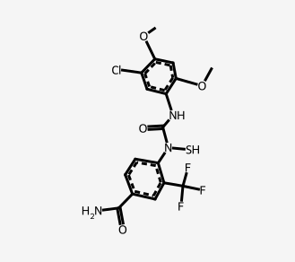 COc1cc(OC)c(NC(=O)N(S)c2ccc(C(N)=O)cc2C(F)(F)F)cc1Cl